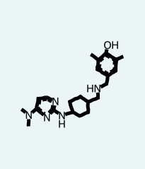 Cc1cc(CNCC2CCC(Nc3nccc(N(C)C)n3)CC2)cc(C)c1O